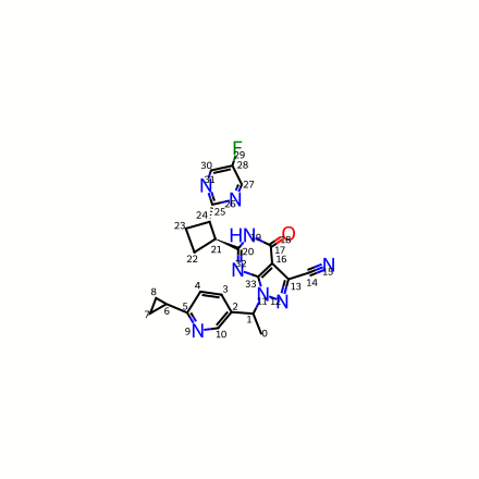 CC(c1ccc(C2CC2)nc1)n1nc(C#N)c2c(=O)[nH]c([C@H]3CC[C@@H]3c3ncc(F)cn3)nc21